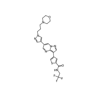 O=C(NCC(F)(F)F)c1cc(-c2cnn3cc(-c4cnn(CCCN5CCOCC5)c4)cnc23)cs1